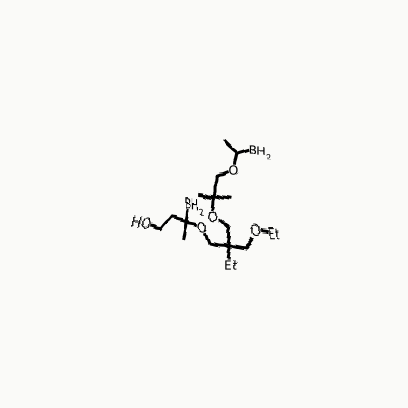 BC(C)OCC(C)(C)OCC(CC)(COCC)COC(B)(C)CCO